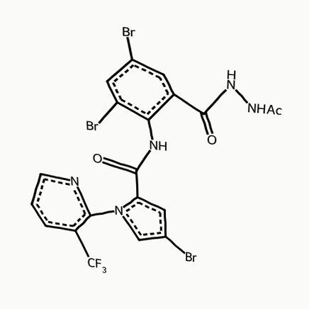 CC(=O)NNC(=O)c1cc(Br)cc(Br)c1NC(=O)c1cc(Br)cn1-c1ncccc1C(F)(F)F